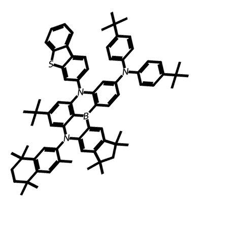 Cc1cc2c(cc1N1c3cc4c(cc3B3c5ccc(N(c6ccc(C(C)(C)C)cc6)c6ccc(C(C)(C)C)cc6)cc5N(c5ccc6c(c5)sc5ccccc56)c5cc(C(C)(C)C)cc1c53)C(C)(C)CC4(C)C)C(C)(C)CCC2(C)C